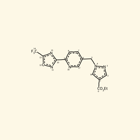 CCOC(=O)c1cnn(Cc2ccc(-c3noc(C(F)(F)F)n3)nc2)c1